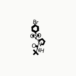 CC(C)(C)NC(=O)N1CCC[C@H]1CS(=O)(=O)c1ccc(Br)cc1